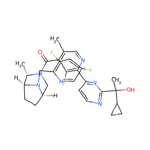 Cc1cnc(-c2ccnc(C(C)(O)C3CC3)n2)c(F)c1C(=O)N1C[C@H]2CC[C@@H]([C@@H]1C)N2Cc1ncc(F)cc1F